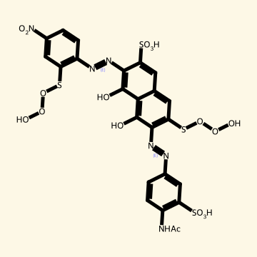 CC(=O)Nc1ccc(/N=N/c2c(SOOO)cc3cc(S(=O)(=O)O)c(/N=N/c4ccc([N+](=O)[O-])cc4SOOO)c(O)c3c2O)cc1S(=O)(=O)O